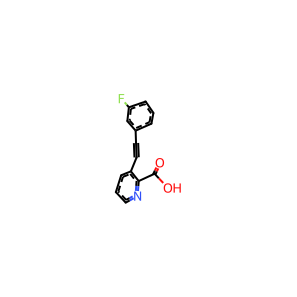 O=C(O)c1ncccc1C#Cc1cccc(F)c1